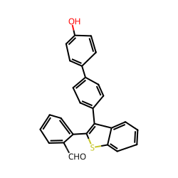 O=Cc1ccccc1-c1sc2ccccc2c1-c1ccc(-c2ccc(O)cc2)cc1